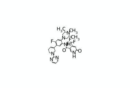 CC1CN(c2cc(F)c(C3=CCCN(c4ncccn4)C3)cc2NC(=O)c2c[nH]c(=O)cc2C(F)(F)F)CC(C)N1C